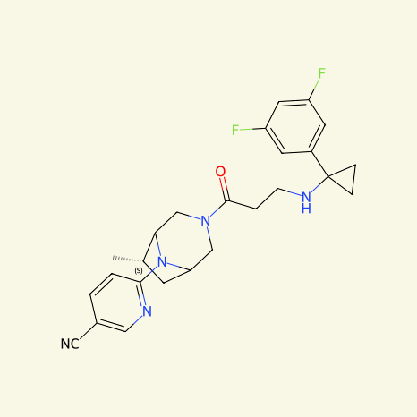 C[C@H]1CC2CN(C(=O)CCNC3(c4cc(F)cc(F)c4)CC3)CC1N2c1ccc(C#N)cn1